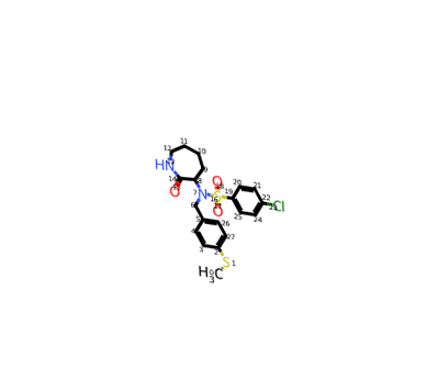 CSc1ccc(CN(C2CCCCNC2=O)S(=O)(=O)c2ccc(Cl)cc2)cc1